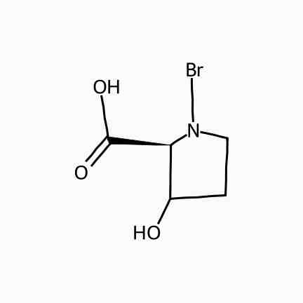 O=C(O)[C@@H]1C(O)CCN1Br